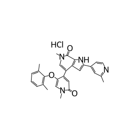 Cc1cc(-c2cc3c(-c4cc(=O)n(C)cc4Oc4c(C)cccc4C)cn(C)c(=O)c3[nH]2)ccn1.Cl